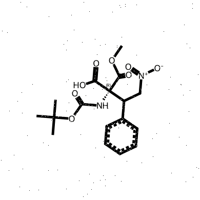 COC(=O)[C@](NC(=O)OC(C)(C)C)(C(=O)O)C(C[N+](=O)[O-])c1ccccc1